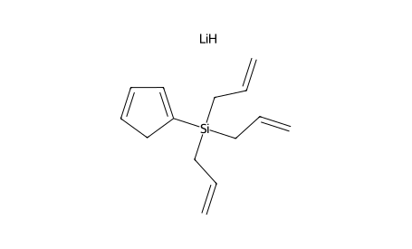 C=CC[Si](CC=C)(CC=C)C1=CC=CC1.[LiH]